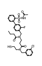 CCCC(=O)N(CCC(=O)N(CCS)Cc1cccc(Cl)c1)Cc1ccc(-c2ccccc2S(=O)(=O)NC(C)=O)cc1F